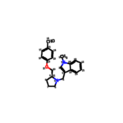 Cn1cc(CN2CCC[C@H]2COc2ccc(C=O)cc2)c2ccccc21